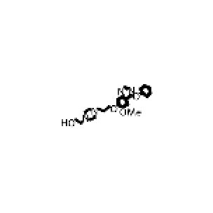 COc1cc2c(Oc3ccccc3)ncnc2cc1OCCCN1CCN(CCO)CC1